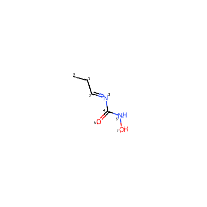 CCC=NC(=O)NO